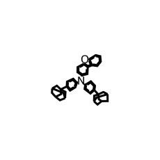 c1ccc2c(c1)oc1ccc(N(c3ccc(C45CC6CC(CC(C6)C4)C5)cc3)c3ccc(C45CC6CC(CC(C6)C4)C5)cc3)cc12